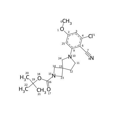 COc1cc(Cl)c(C#N)c(N2CCC3(CN(C(=O)OC(C)(C)C)C3)C2)c1